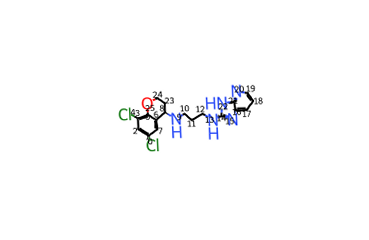 Clc1cc(Cl)c2c(c1)[C@H](NCCCNc1nc3cccnc3[nH]1)CCO2